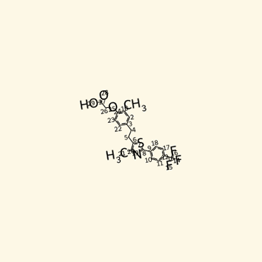 Cc1cc(CCc2sc(-c3ccc(C(F)(F)F)cc3)nc2C)ccc1OCC(=O)O